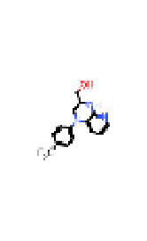 OCC1CN(c2ccc(C(F)(F)F)cc2)c2cccnc2N1